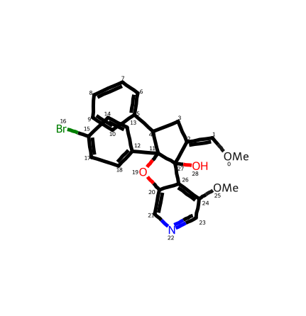 COC=C1CC(c2ccccc2)C2(c3ccc(Br)cc3)Oc3cncc(OC)c3C12O